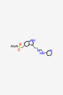 CNS(=O)(=O)Cc1ccc2[nH]cc(CCN=CNc3cccnc3)c2c1